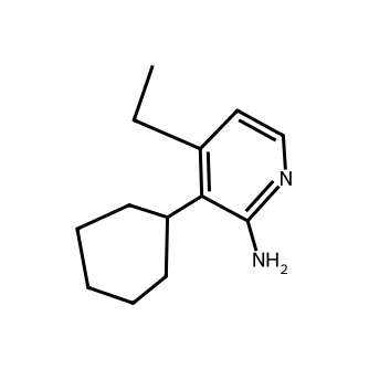 CCc1ccnc(N)c1C1CCCCC1